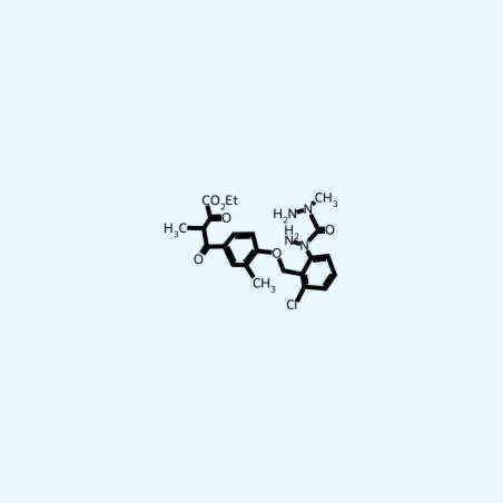 CCOC(=O)C(=O)C(C)C(=O)c1ccc(OCc2c(Cl)cccc2N(N)C(=O)N(C)N)c(C)c1